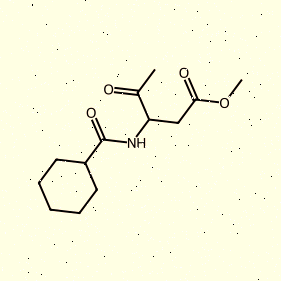 COC(=O)CC(NC(=O)C1CCCCC1)C(C)=O